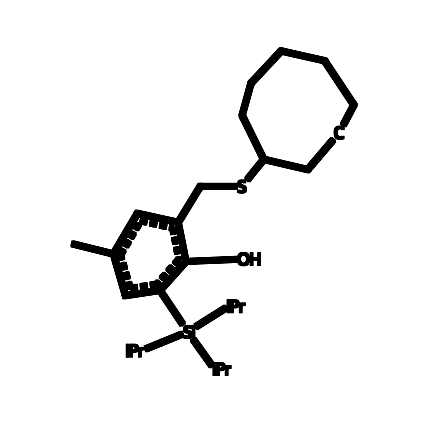 Cc1cc(CSC2CCCCCCC2)c(O)c([Si](C(C)C)(C(C)C)C(C)C)c1